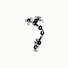 CC[C@@H]1CC(=O)N[C@@H]1COc1ncc(C#C[C@H]2CC[C@H](CN3CCC(OCCCc4cccc5c4n(C)c(=O)n5C4CCC(=O)NC4=O)CC3)CC2)c2cc(C(N)=O)c(OC)cc12